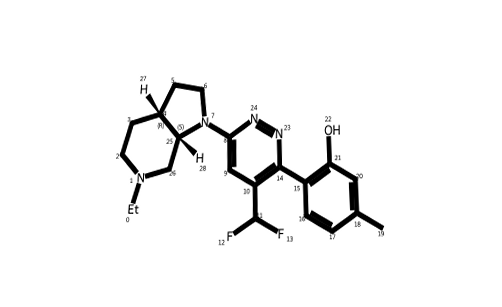 CCN1CC[C@@H]2CCN(c3cc(C(F)F)c(-c4ccc(C)cc4O)nn3)[C@@H]2C1